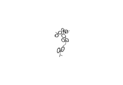 CC(=O)Oc1cc2c(cc1[N+](=O)[O-])OC(CCOC(=O)C(C)C)O2